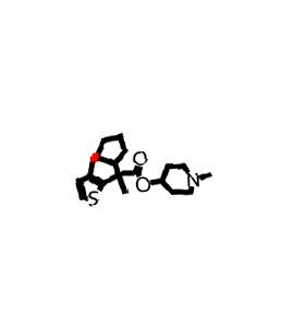 Cc1ccsc1C(C)(C(=O)OC1CCN(C)CC1)C1CCCC1